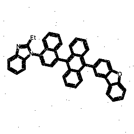 CCc1nc2ccccc2n1-c1ccc(-c2c3ccccc3c(-c3ccc4oc5ccccc5c4c3)c3ccccc23)c2ccccc12